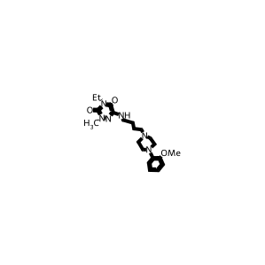 CCn1c(=O)c(NCCCCN2CCN(c3ccccc3OC)CC2)nn(C)c1=O